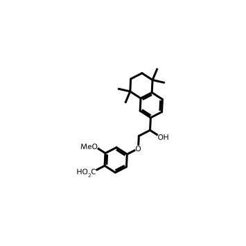 COc1cc(OCC(O)c2ccc3c(c2)C(C)(C)CCC3(C)C)ccc1C(=O)O